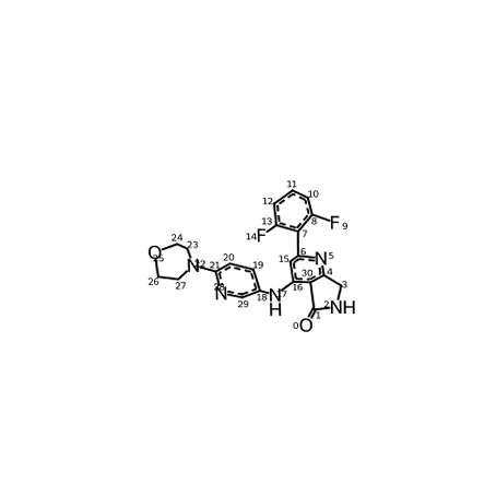 O=C1NCc2nc(-c3c(F)cccc3F)cc(Nc3ccc(N4CCOCC4)nc3)c21